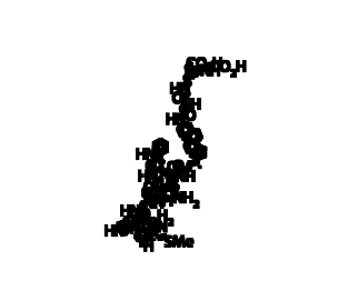 CSCC[C@H](NC(=O)C(CC(C)C)NC(=O)[C@H](Cc1c[nH]cn1)NC(=O)CNC(=O)C(NC(=O)C(C)NC(=O)[C@H](Cc1c[nH]c2ccccc12)NC(=O)C(CCC(N)=O)NC(=O)CC[C@@H](C)C1CCC2C3CCC4CC(NC(=O)CNC(=O)CNCCN(CCNCC(=O)O)CC(=O)O)CCC4(C)C3CCC21C)C(C)C)C(N)=O